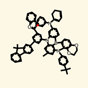 Cc1cc2c3c(c1)N(c1ccc(C(C)(C)C)cc1)c1c(ccc4c1OCCO4)B3c1ccc(N(C3=CC=CCC3)c3ccccc3)cc1N2c1cc(-c2ccc3c(c2)C(C)(C)c2ccccc2-3)cc(-c2cc3ccccc3o2)c1